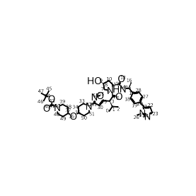 CC(C)[C@H](C(=O)N1C[C@H](O)C[C@H]1C(=O)N[C@@H](C)c1ccc(-c2ccnn2C)cc1)c1cc(N2CCC(OC3CCN(C(=O)OC(C)(C)C)CC3)CC2)no1